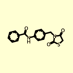 O=C(Nc1ccc(CN2C(=O)CSC2=O)cc1)c1ccccc1